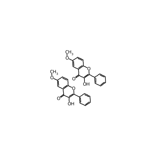 COc1ccc2oc(-c3ccccc3)c(O)c(=O)c2c1.COc1ccc2oc(-c3ccccc3)c(O)c(=O)c2c1